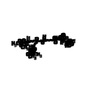 CC(=O)Oc1cccc(C(=O)NCCCCN(CCCNC(=O)c2cccc(OC(C)=O)c2OC(C)=O)C(=O)CCC(=O)NCCCCCN(O)C(=O)CCC(=O)N[C@@H](C(=O)N[C@@H]2C(=O)N3C(C(=O)O)=C(Cl)CCC23)c2ccccc2)c1OC(C)=O